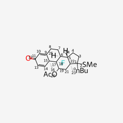 CCCCC1(SC)CC[C@H]2[C@@H]3CCC4=CC(=O)C=C[C@]4(C)[C@]3(F)C(OC(C)=O)C[C@@]21C